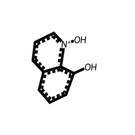 Oc1cccc2ccc[n+](O)c12